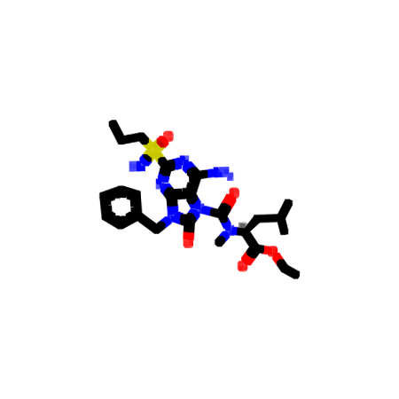 CCCS(=N)(=O)c1nc(N)c2c(n1)n(Cc1ccccc1)c(=O)n2C(=O)N(C)[C@@H](CC(C)C)C(=O)OCC